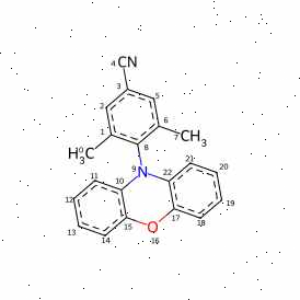 Cc1cc(C#N)cc(C)c1N1c2ccccc2Oc2ccccc21